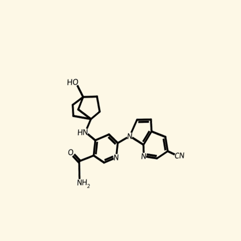 N#Cc1cnc2c(ccn2-c2cc(NC34CCC(O)(CC3)C4)c(C(N)=O)cn2)c1